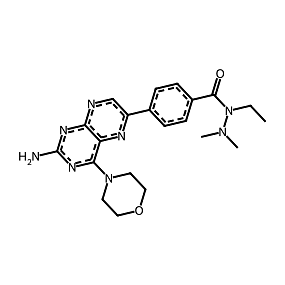 CCN(C(=O)c1ccc(-c2cnc3nc(N)nc(N4CCOCC4)c3n2)cc1)N(C)C